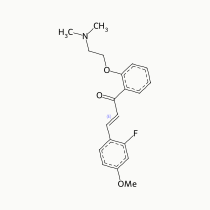 COc1ccc(/C=C/C(=O)c2ccccc2OCCN(C)C)c(F)c1